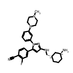 CN1CCN(c2cccc(-n3nc(NC[C@H]4CCC[C@H](N)C4)cc3-c3ccc(C#N)c(F)c3)c2)CC1